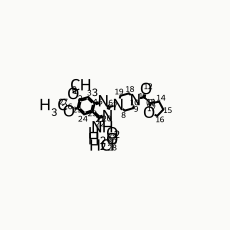 COc1cc2nc(N3CCN(C(=O)[C@H]4CCCO4)CC3)nc(N)c2cc1OC.Cl.O.O